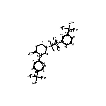 CC(C)([C@H]1CCC(=O)N(c2ccc(C(F)(F)F)cn2)C1)S(=O)(=O)c1cccc(C(F)(F)F)c1